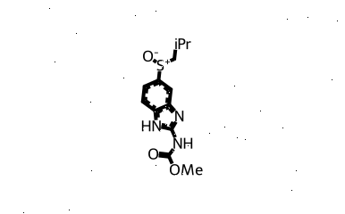 COC(=O)Nc1nc2cc([S+]([O-])CC(C)C)ccc2[nH]1